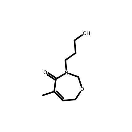 CC1=CCOCN(CCCO)C1=O